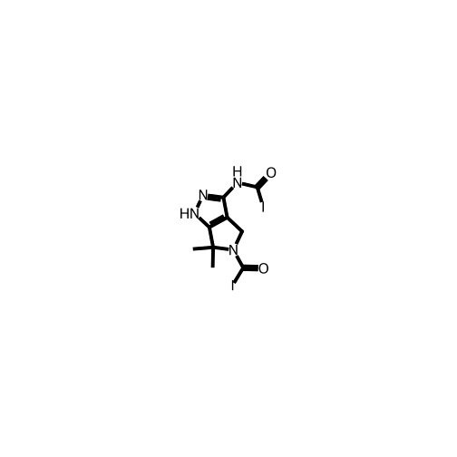 CC1(C)c2[nH]nc(NC(=O)I)c2CN1C(=O)I